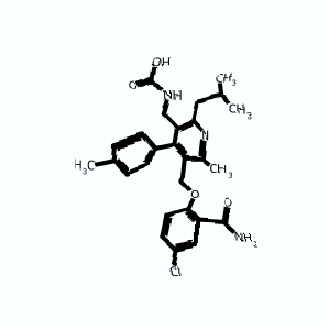 Cc1ccc(-c2c(COc3ccc(Cl)cc3C(N)=O)c(C)nc(CC(C)C)c2CNC(=O)O)cc1